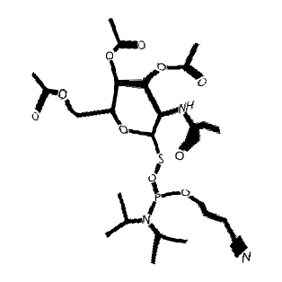 CC(=O)NC1C(SOP(OCCC#N)N(C(C)C)C(C)C)OC(COC(C)=O)C(OC(C)=O)C1OC(C)=O